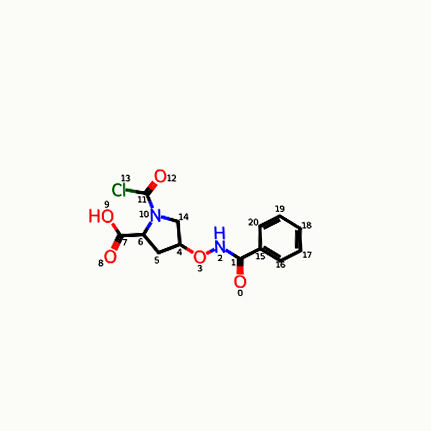 O=C(NOC1CC(C(=O)O)N(C(=O)Cl)C1)c1ccccc1